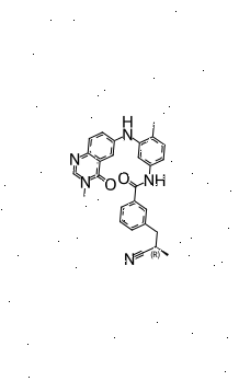 Cc1ccc(NC(=O)c2cccc(C[C@@H](C)C#N)c2)cc1Nc1ccc2ncn(C)c(=O)c2c1